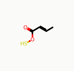 CC=CC(=O)OS